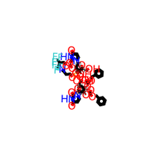 N#CCCOP(=O)(OC(O)[C@H]1O[C@@H](n2ccc(=O)[nH]c2=O)[C@H](OC(=O)OCc2ccccc2)[C@@H]1OC(=O)OCc1ccccc1)O[C@@]1(O)[C@@H](CO)O[C@@H](n2ccc(=O)[nH]c2=O)[C@@H]1OCOCC(C(F)(F)F)C(F)(F)F